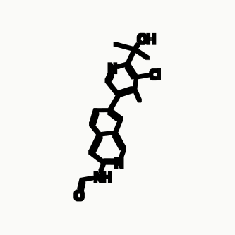 Cc1c(-c2ccc3cc(NC=O)ncc3c2)cnc(C(C)(C)O)c1Cl